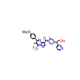 COc1ccc(-c2nc3c(C(=O)N4CCN(C(CO)c5cccnc5)C[C@H]4C)cnn3c(C(F)(F)F)c2C)cc1